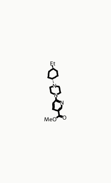 CC[C@H]1CC[C@H](N2CCN(c3ccc(C(=O)OC)cn3)CC2)CC1